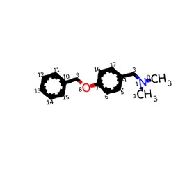 CN(C)Cc1[c]cc(OCc2ccccc2)cc1